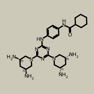 N[C@@H]1C[C@H](N)CN(c2nc(Nc3ccc(NC(=O)C4CCCCC4)cc3)nc(N3C[C@H](N)C[C@H](N)C3)n2)C1